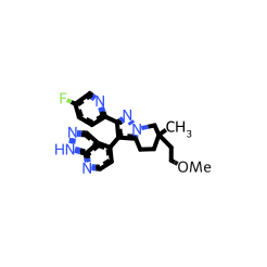 COCCC1(C)CCc2c(-c3ccnc4[nH]ncc34)c(-c3ccc(F)cn3)nn2C1